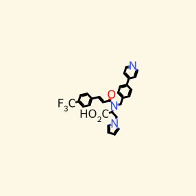 O=C(O)C(Cn1cccc1)N(Cc1ccc(-c2ccncc2)cc1)C(=O)C=Cc1ccc(C(F)(F)F)cc1